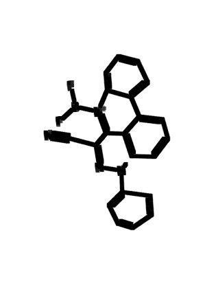 CN(/N=C(/C#N)c1c2ccccc2c2ccccc2[n+]1B(F)F)c1ccccc1